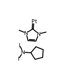 Cn1ccn(C)[c]1=[Pt].IN(I)C1CCCC1